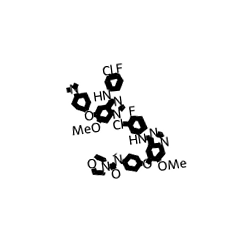 COc1cc2ncnc(Nc3ccc(F)c(Cl)c3)c2cc1OC1CCC(N(C)C(=O)N2CCOCC2)CC1.COc1cc2ncnc(Nc3ccc(F)c(Cl)c3)c2cc1OC1CCC(N(C)C)CC1